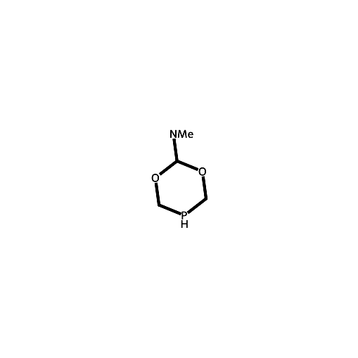 CNC1OCPCO1